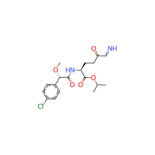 CO[C@H](C(=O)N[C@@H](CCC(=O)C=N)C(=O)OC(C)C)c1ccc(Cl)cc1